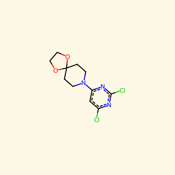 Clc1cc(N2CCC3(CC2)OCCO3)nc(Cl)n1